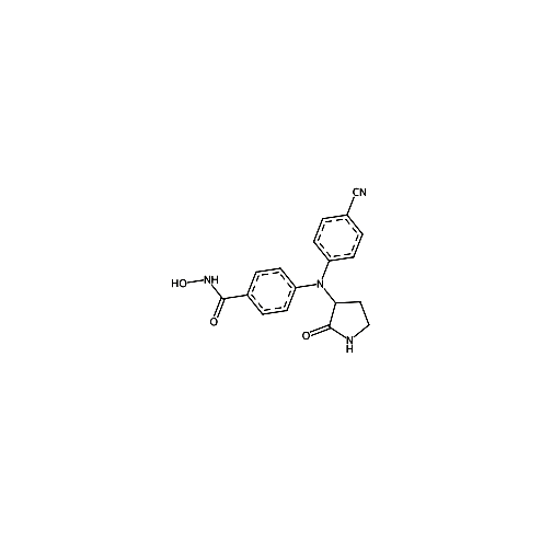 N#Cc1ccc(N(c2ccc(C(=O)NO)cc2)C2CCNC2=O)cc1